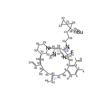 C=Cc1c(C)cc(C)c2c1C1=C(F)C(=N/CCCC3(CCCC)CC34CC4)/C(=C(\N=C)N3CCCC4(C3)CC(C=C)(C4)C(C)C/C(=C\C)CC2)C=N1